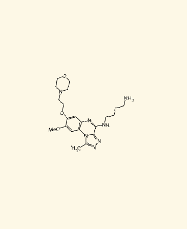 COc1cc2c(cc1OCCN1CCOCC1)nc(NCCCCN)c1nnc(C)n12